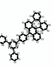 c1ccc(-c2nc(-c3ccccc3)nc(-c3ccc(-c4c5ccccc5c5c6c(cccc46)-c4ccccc4-c4ccccc4-5)cc3)n2)cc1